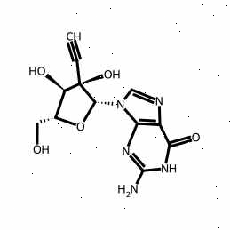 C#C[C@@]1(O)[C@H](O)[C@@H](CO)O[C@H]1n1cnc2c(=O)[nH]c(N)nc21